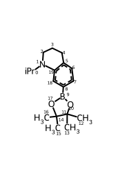 CC(C)N1CCCc2ccc(B3OC(C)(C)C(C)(C)O3)cc21